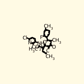 Cc1ccc(-c2oc3c(C(C)Nc4ccc(Cl)nc4C(=O)O)cc(C)cc3c(=O)c2C)c(F)c1